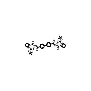 CC(C)(C)OC(=O)N1C2CCC(C2)[C@H]1C(=O)OCC(=O)c1ccc(-c2ccc(C(=O)COC(=O)[C@@H]3C4CCC(C4)N3C(=O)OC(C)(C)C)cc2)cc1